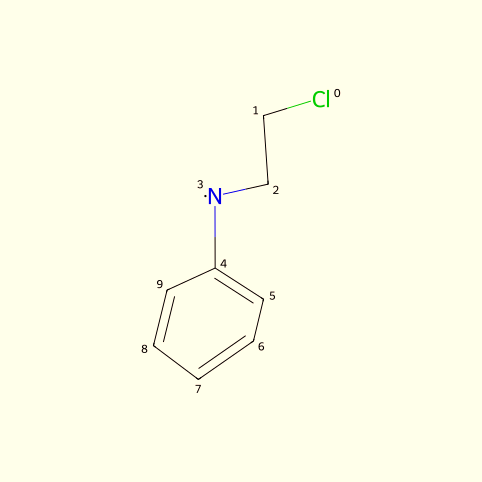 ClCC[N]c1ccccc1